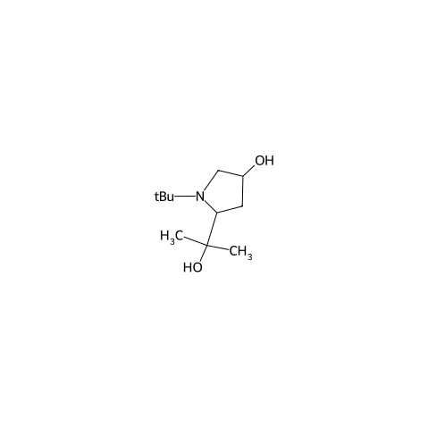 CC(C)(O)C1CC(O)CN1C(C)(C)C